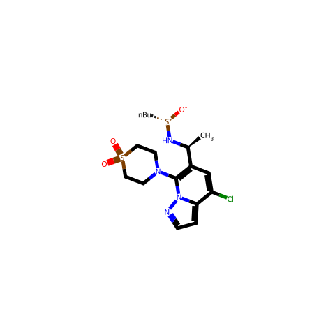 CCCC[S@+]([O-])N[C@@H](C)c1cc(Cl)c2ccnn2c1N1CCS(=O)(=O)CC1